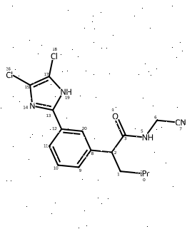 CC(C)CC(C(=O)NCC#N)c1cccc(-c2nc(Cl)c(Cl)[nH]2)c1